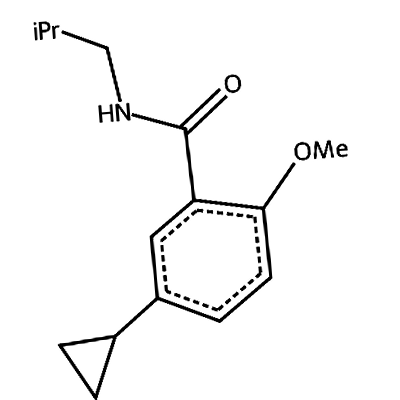 COc1ccc(C2CC2)cc1C(=O)NCC(C)C